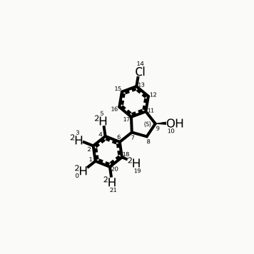 [2H]c1c([2H])c([2H])c(C2C[C@H](O)c3cc(Cl)ccc32)c([2H])c1[2H]